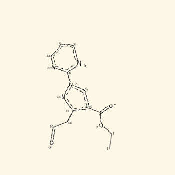 CCOC(=O)c1cn(-c2ncccn2)nc1CC=O